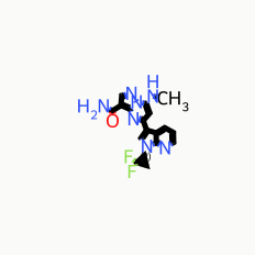 CNc1cc(-c2cn([C@@H]3CC3(F)F)c3ncccc23)nc2c(C(N)=O)cnn12